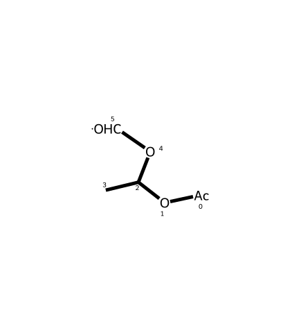 CC(=O)OC(C)O[C]=O